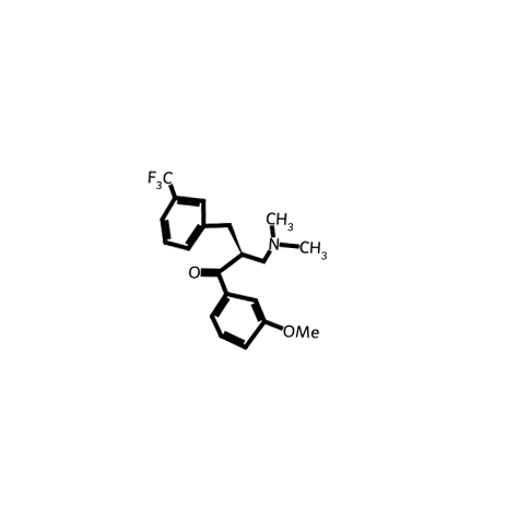 COc1cccc(C(=O)[C@@H](Cc2cccc(C(F)(F)F)c2)CN(C)C)c1